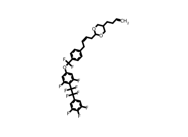 C=CCCC1COC(C/C=C\Cc2ccc(C(F)(F)Oc3cc(F)c(C(F)(F)C(F)(F)c4cc(F)c(F)c(F)c4)c(F)c3)cc2)OC1